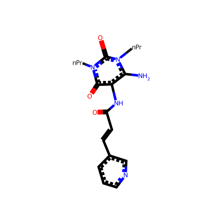 CCCn1c(N)c(NC(=O)C=Cc2cccnc2)c(=O)n(CCC)c1=O